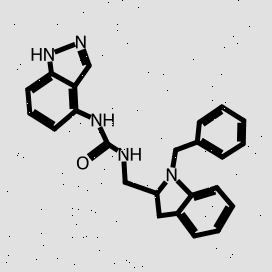 O=C(NCC1Cc2ccccc2N1Cc1ccccc1)Nc1cccc2[nH]ncc12